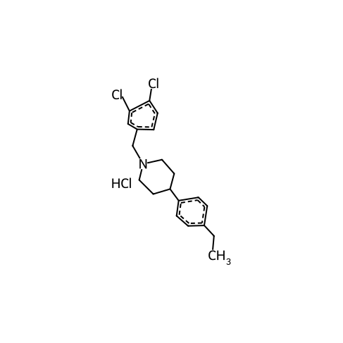 CCc1ccc(C2CCN(Cc3ccc(Cl)c(Cl)c3)CC2)cc1.Cl